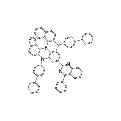 c1ccc(-c2ccc(N3c4cc(-c5nc(-c6ccccc6)c6ccccc6n5)cc5c4B(c4c3ccc3ccccc43)c3c(ccc4ccccc34)N5c3ccc(-c4ccccc4)cc3)cc2)cc1